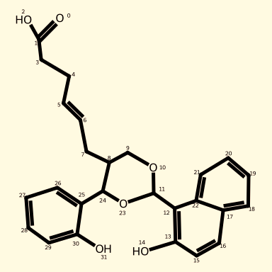 O=C(O)CCC=CCC1COC(c2c(O)ccc3ccccc23)OC1c1ccccc1O